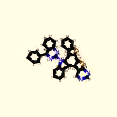 c1ccc(-c2nc(-n3c4ccccc4c4c5c6cncnc6sc5c5sc6ccccc6c5c43)nc3ccccc23)cc1